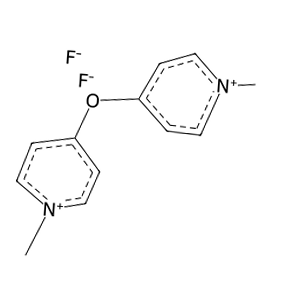 C[n+]1ccc(Oc2cc[n+](C)cc2)cc1.[F-].[F-]